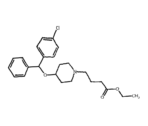 CCOC(=O)CCCN1CCC(OC(c2ccccc2)c2ccc(Cl)cc2)CC1